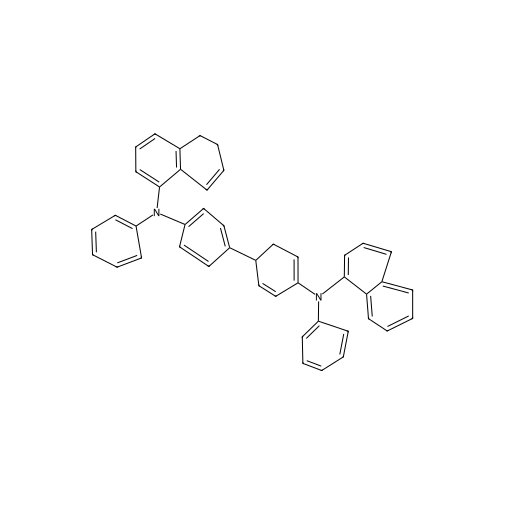 C1=Cc2c(cccc2N(c2ccccc2)c2ccc(C3C=CC(N(c4ccccc4)c4cccc5ccccc45)=CC3)cc2)CC1